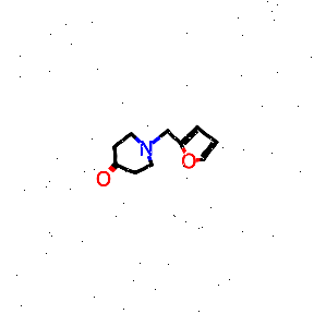 O=C1CCN(Cc2ccco2)CC1